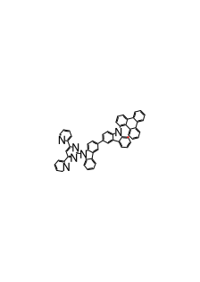 c1ccc(-c2cc(-c3ccccn3)nc(-n3c4ccccc4c4cc(-c5ccc6c(c5)c5ccccc5n6-c5cccc6c7ccccc7c7ccccc7c56)ccc43)n2)nc1